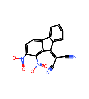 N#CC(C#N)=C1c2ccccc2-c2ccc([N+](=O)[O-])c([N+](=O)[O-])c21